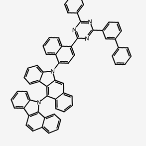 c1ccc(-c2cccc(-c3nc(-c4ccccc4)nc(-c4ccc(-n5c6ccccc6c6c(-n7c8ccccc8c8ccc9ccccc9c87)c7ccccc7cc65)c5ccccc45)n3)c2)cc1